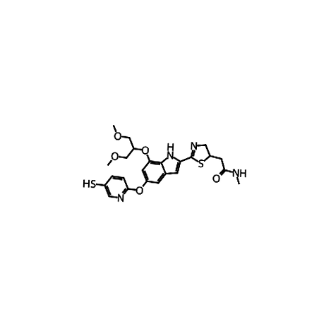 CNC(=O)CC1CN=C(c2cc3cc(Oc4ccc(S)cn4)cc(OC(COC)COC)c3[nH]2)S1